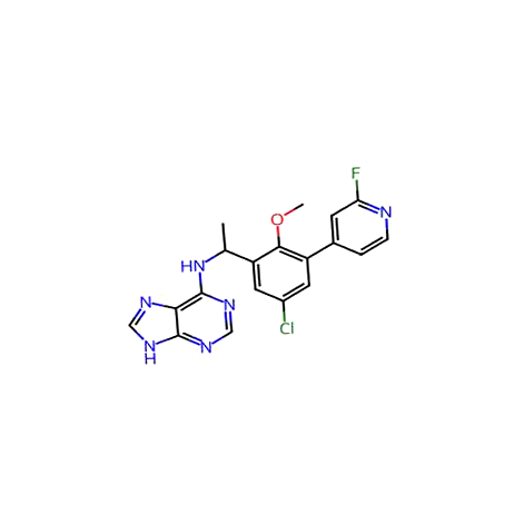 COc1c(-c2ccnc(F)c2)cc(Cl)cc1C(C)Nc1ncnc2[nH]cnc12